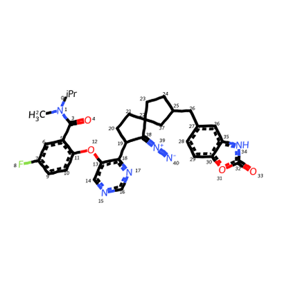 CC(C)N(C)C(=O)c1cc(F)ccc1Oc1cncnc1C1CCC2(CCC(Cc3ccc4oc(=O)[nH]c4c3)C2)C1=[N+]=[N-]